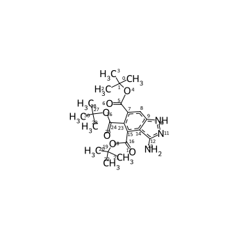 CC(C)(C)OC(=O)c1cc2[nH]nc(N)c2c(C(=O)OC(C)(C)C)c1C(=O)OC(C)(C)C